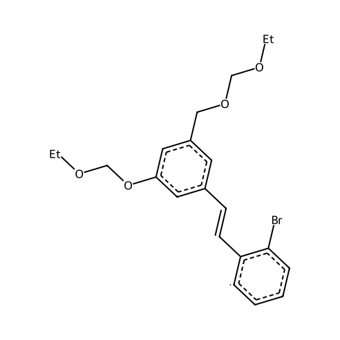 CCOCOCc1cc(/C=C/c2[c]cccc2Br)cc(OCOCC)c1